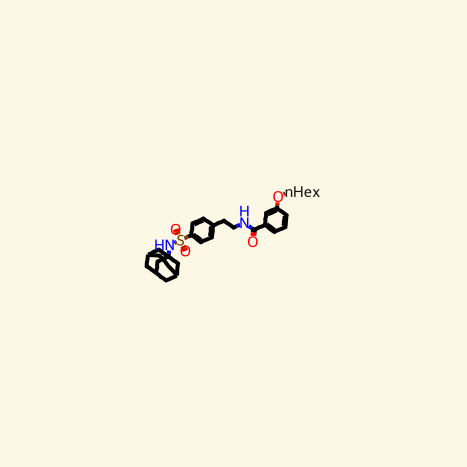 CCCCCCOc1cccc(C(=O)NCCc2ccc(S(=O)(=O)NC34CC5CC(CC(C5)C3)C4)cc2)c1